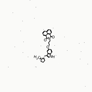 CN1CCC[C@H]1Cc1c[nH]c2ccc(OCCCN3C(=O)c4cccc5cccc(c45)C3=O)cc12